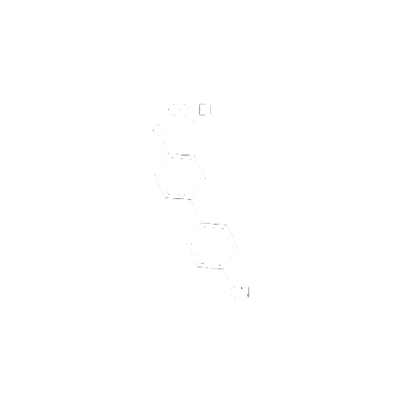 CCOC(=O)Oc1ccc(-c2ccc(C#N)cc2)cc1